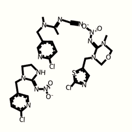 C/C(=N\C#N)N(C)Cc1ccc(Cl)nc1.CN1COCN(Cc2cnc(Cl)s2)/C1=N/[N+](=O)[O-].O=[N+]([O-])/N=C1\NCCN1Cc1ccc(Cl)nc1